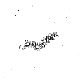 CCNC(=O)N(C)c1nc2ccc(C(=O)Nc3cc(NC(=O)c4cccc(C(F)(F)F)c4)ccc3C)cc2s1